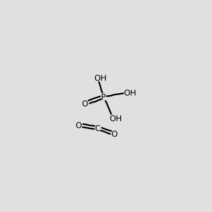 O=C=O.O=P(O)(O)O